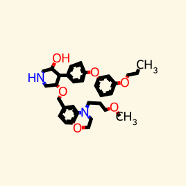 CCCOc1cccc(Oc2ccc(C3C(O)CNCC3OCc3ccc4c(c3)N(CCCOC)CCO4)cc2)c1